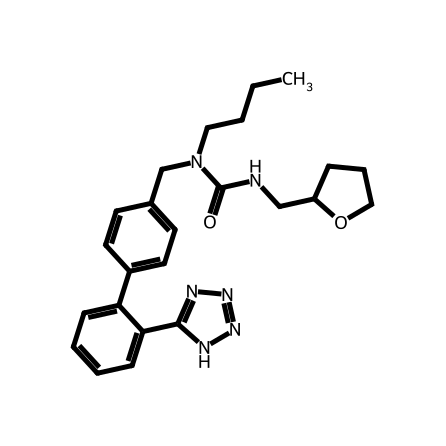 CCCCN(Cc1ccc(-c2ccccc2-c2nnn[nH]2)cc1)C(=O)NCC1CCCO1